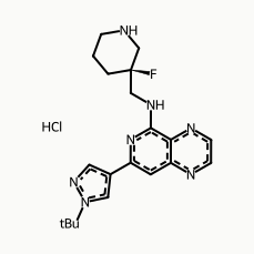 CC(C)(C)n1cc(-c2cc3nccnc3c(NC[C@]3(F)CCCNC3)n2)cn1.Cl